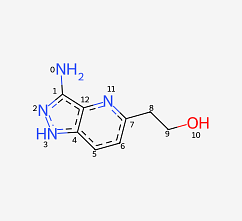 Nc1n[nH]c2ccc(CCO)nc12